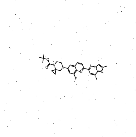 Cc1cn2nc(-c3ccc4cc(N5CCN(C(=O)OC(C)(C)C)C6(CC6)C5)cc(F)c4n3)cc(C)c2n1